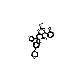 COC(=O)OC1=C(Sc2ccccc2Cl)C(=O)NC(c2ccc(N3CCOCC3)cc2)(c2ccsc2)C1